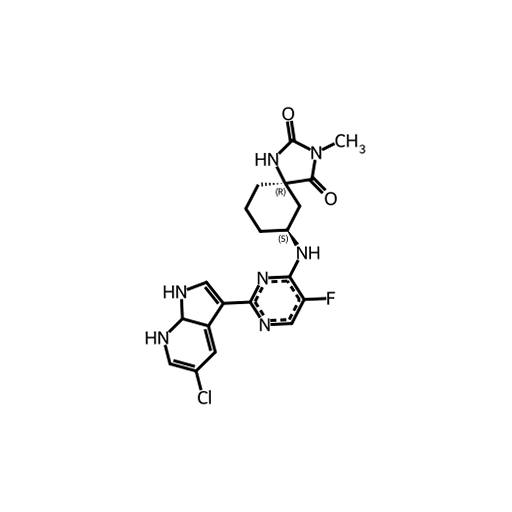 CN1C(=O)N[C@@]2(CCC[C@H](Nc3nc(C4=CNC5NC=C(Cl)C=C45)ncc3F)C2)C1=O